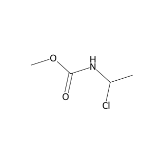 COC(=O)NC(C)Cl